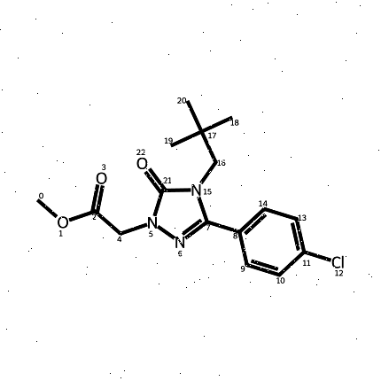 COC(=O)Cn1nc(-c2ccc(Cl)cc2)n(CC(C)(C)C)c1=O